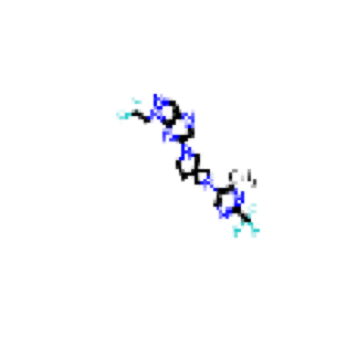 Cc1nc(C(F)(F)F)ncc1N1CC2(CCN(c3cnc4cnn(CC(F)F)c4n3)C2)C1